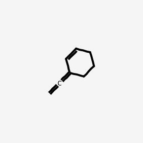 C=C=C1C=CCCC1